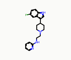 Fc1ccc2[nH]cc(C3CCN(CCNc4ccccn4)CC3)c2c1